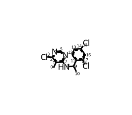 Cc1c(Cl)ncnc1NC(C)c1ccc(Cl)cc1Cl